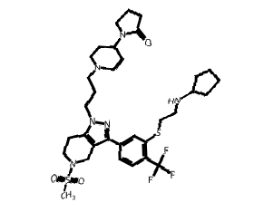 CS(=O)(=O)N1CCc2c(c(-c3ccc(C(F)(F)F)c(SCCNC4CCCC4)c3)nn2CCCN2CCC(N3CCCC3=O)CC2)C1